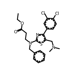 CCOC(=O)CCN(Cc1ccccc1)c1nc(-c2ccc(Cl)c(Cl)c2)c(CN(C)C)s1